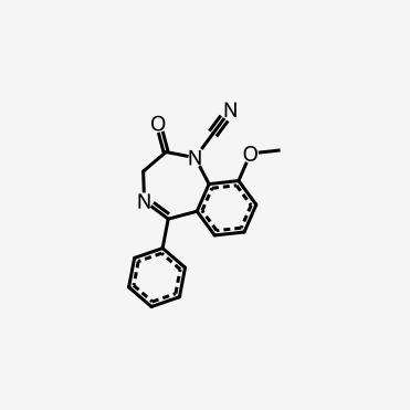 COc1cccc2c1N(C#N)C(=O)CN=C2c1ccccc1